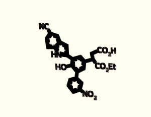 CCOC(=O)C(CC(=O)O)c1cc(-c2cccc([N+](=O)[O-])c2)c(O)c(-c2cc3cc(C#N)ccc3[nH]2)c1